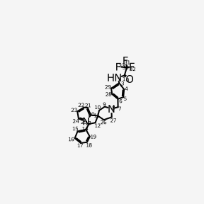 O=C(Nc1ccc(CN2CCC(CCc3ccccc3)(c3ccccn3)CC2)cc1)C(F)(F)F